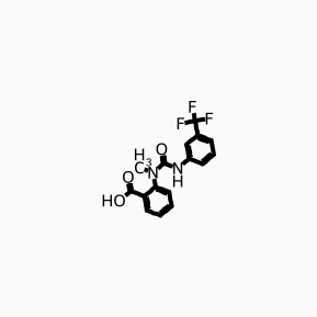 CN(C(=O)Nc1cccc(C(F)(F)F)c1)c1ccccc1C(=O)O